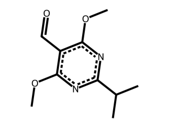 COc1nc(C(C)C)nc(OC)c1C=O